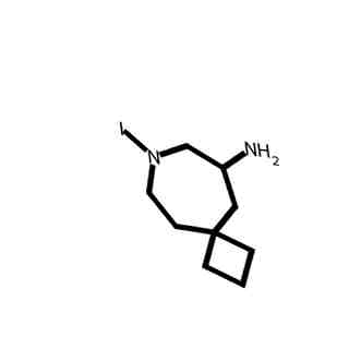 NC1CN(I)CCC2(CCC2)C1